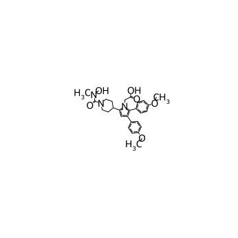 COc1ccc(-c2cc(C3CCN(C(=O)N(C)O)CC3)n(CC(=O)O)c2-c2ccc(OC)cc2)cc1